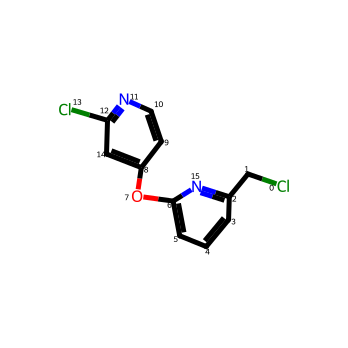 ClCc1cccc(Oc2ccnc(Cl)c2)n1